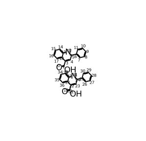 O=C(O)c1cc(-c2ccccc2)nc2ccccc12.O=C(O)c1cc(-c2ccccc2)nc2ccccc12